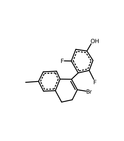 Cc1ccc2c(c1)CCC(Br)=C2c1c(F)cc(O)cc1F